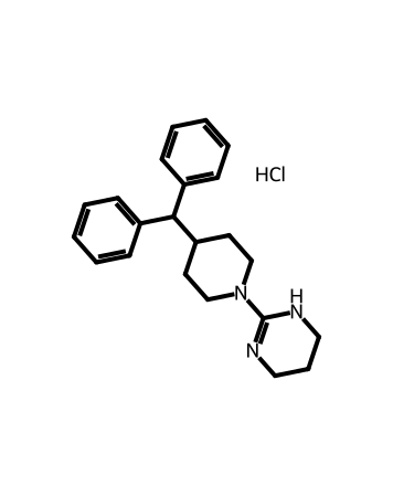 Cl.c1ccc(C(c2ccccc2)C2CCN(C3=NCCCN3)CC2)cc1